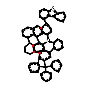 c1ccc(C2(c3ccccc3)c3ccccc3-c3ccc(-c4ccccc4N(c4ccc(-c5cccc6sc7ccccc7c56)cc4)c4ccccc4-c4cccc5cccc(C6CCCCC6)c45)cc32)cc1